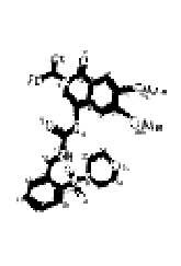 CCC(CC)n1cc(OC(=O)NCc2ccccc2S(=O)(=O)N2CCOCC2)c2cc(OC)c(OC)cc2c1=O